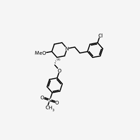 COC1CCN(CCc2cccc(Cl)c2)C[C@@H]1COc1ccc(S(C)(=O)=O)cc1